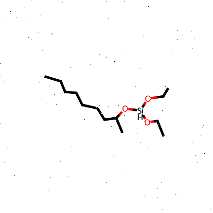 CCCCCCCC(C)O[SiH](OCC)OCC